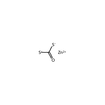 O=C([S-])[S-].[Zn+2]